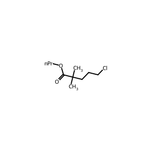 CCCOC(=O)C(C)(C)CCCCl